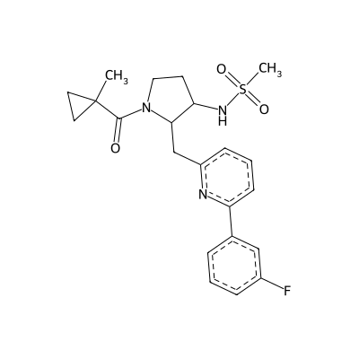 CC1(C(=O)N2CCC(NS(C)(=O)=O)C2Cc2cccc(-c3cccc(F)c3)n2)CC1